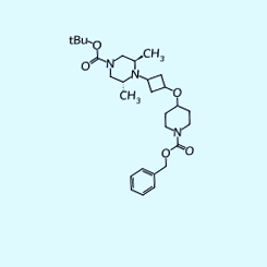 C[C@@H]1CN(C(=O)OC(C)(C)C)C[C@@H](C)N1C1CC(OC2CCN(C(=O)OCc3ccccc3)CC2)C1